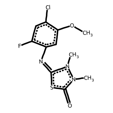 COc1cc(N=c2sc(=O)n(C)n2C)c(F)cc1Cl